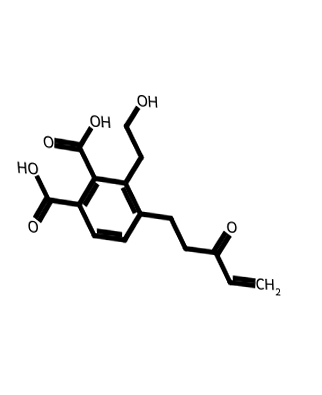 C=CC(=O)CCc1ccc(C(=O)O)c(C(=O)O)c1CCO